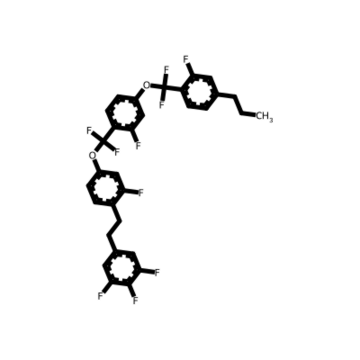 CCCc1ccc(C(F)(F)Oc2ccc(C(F)(F)Oc3ccc(CCc4cc(F)c(F)c(F)c4)c(F)c3)c(F)c2)c(F)c1